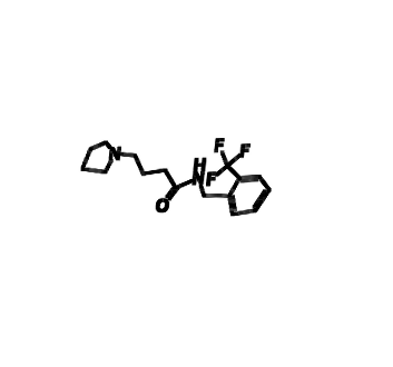 O=C(CCCN1CCCC1)NCc1ccccc1C(F)(F)F